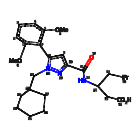 COc1cccc(OC)c1-c1cc(C(=O)NC(CC(=O)O)CC(C)C)nn1CC1CCCCC1